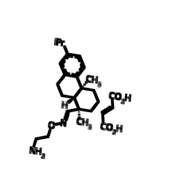 CC(C)c1ccc2c(c1)CC[C@H]1[C@](C)(/C=N/OCCN)CCC[C@]21C.O=C(O)/C=C/C(=O)O